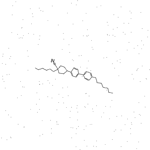 CCCCCCCc1ccc(-c2ccc(C3CCC(C#N)(CCCCCC)CC3)cc2)cc1